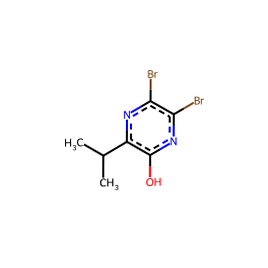 CC(C)c1nc(Br)c(Br)nc1O